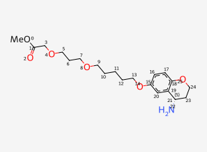 COC(=O)COCCCOCCCCCOc1ccc2c(c1)[C@@H](N)CCO2